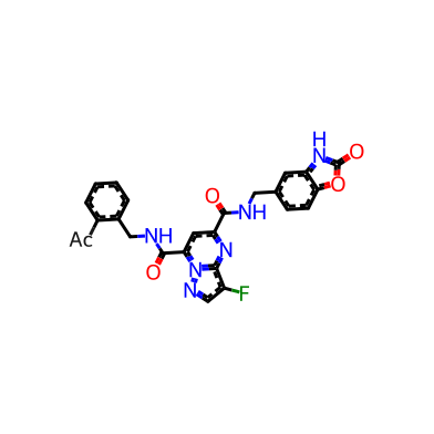 CC(=O)c1ccccc1CNC(=O)c1cc(C(=O)NCc2ccc3oc(=O)[nH]c3c2)nc2c(F)cnn12